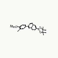 COc1ccc(C2=CC3CCC(B4OC(C)(C)C(C)(C)O4)=CC3C=C2)cc1C